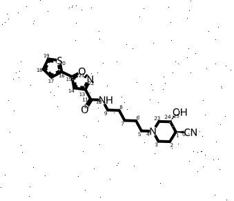 N#C[C@H]1CCN(CCCCCNC(=O)c2cc(-c3cccs3)on2)C[C@@H]1O